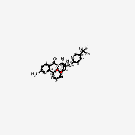 Cc1ccc(C(=O)N2C[C@@H]3CC[C@H]2[C@H](Nc2ccc(C(F)(F)F)cn2)C3)c(-c2ncccn2)n1